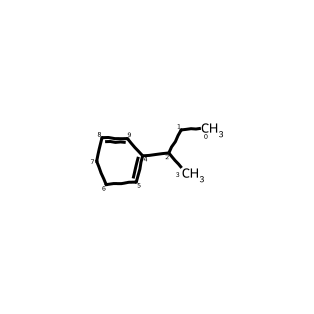 CCC(C)C1=CCCC=C1